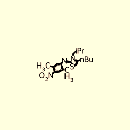 CCCCc1csc(=Nc2cc(C)c([N+](=O)[O-])cc2C)n1CC(C)C